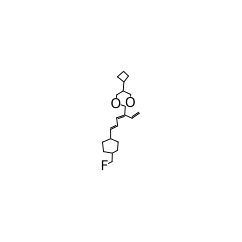 C=C/C(=C\C=C\C1CCC(CF)CC1)C1OCC(C2CCC2)CO1